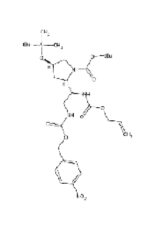 C=CCOC(=O)NC(CNC(=O)OCc1ccc([N+](=O)[O-])cc1)[C@@H]1C[C@@H](O[Si](C)(C)C(C)(C)C)CN1C(=O)OC(C)(C)C